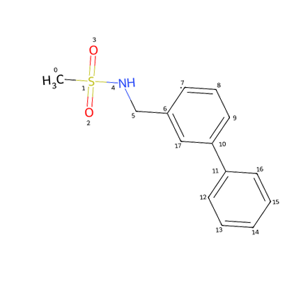 CS(=O)(=O)NCc1[c]ccc(-c2ccccc2)c1